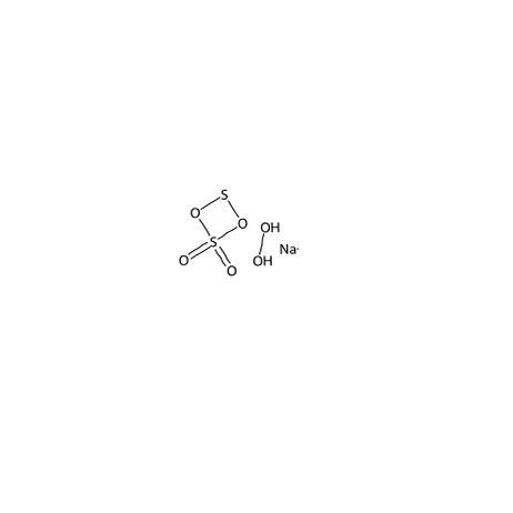 O=S1(=O)OSO1.OO.[Na]